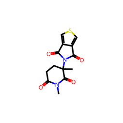 CN1C(=O)CCC(C)(N2C(=O)c3cscc3C2=O)C1=O